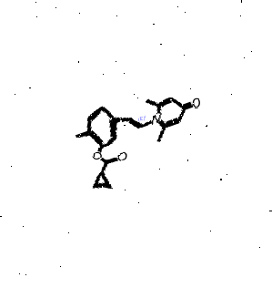 Cc1ccc(/C=C/n2c(C)cc(=O)cc2C)cc1OC(=O)C1CC1